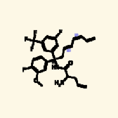 C=C/C=C\C=C\C[C@](NC(=O)C(N)CC=C)(c1cc(F)cc(C(F)(F)F)c1)c1ccc(F)c(OC)c1